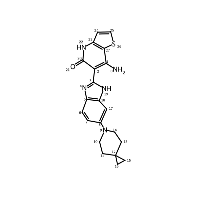 Nc1c(-c2nc3ccc(N4CCC5(CC4)CC5)cc3[nH]2)c(=O)[nH]c2ccsc12